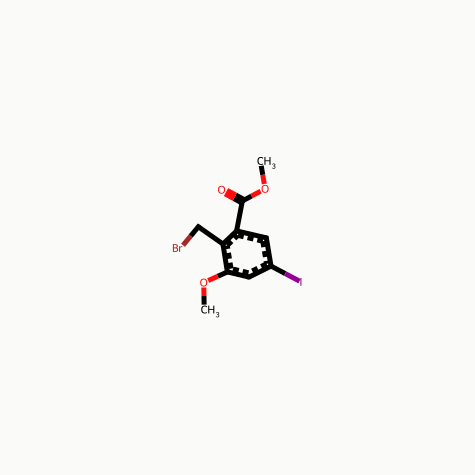 COC(=O)c1cc(I)cc(OC)c1CBr